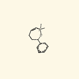 C[Si]1(C)C=CCCC(c2ccccc2)O1